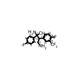 CC(N)(c1ccc(F)cc1)C(CN)c1ccc(F)c(C(F)(F)F)c1